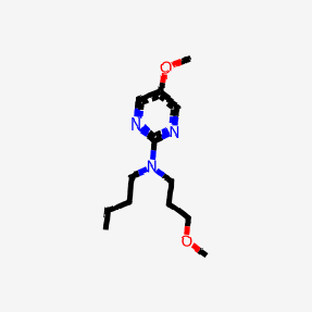 CCCCN(CCCOC)c1ncc(OC)cn1